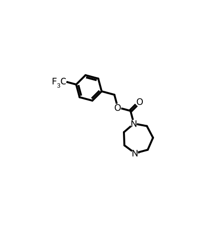 O=C(OCc1ccc(C(F)(F)F)cc1)N1CCC[N]CC1